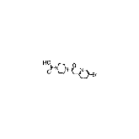 O=C(O)N1CCN(C(=O)Cc2ccc(Br)cn2)CC1